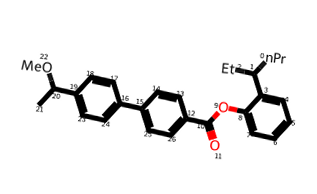 CCCC(CC)c1ccccc1OC(=O)c1ccc(-c2ccc(C(C)OC)cc2)cc1